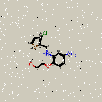 Nc1ccc(OCCO)c(NCc2sccc2Cl)c1